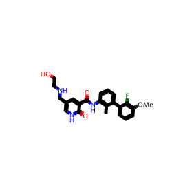 COc1cccc(-c2cccc(NC(=O)c3cc(CNCCO)c[nH]c3=O)c2C)c1F